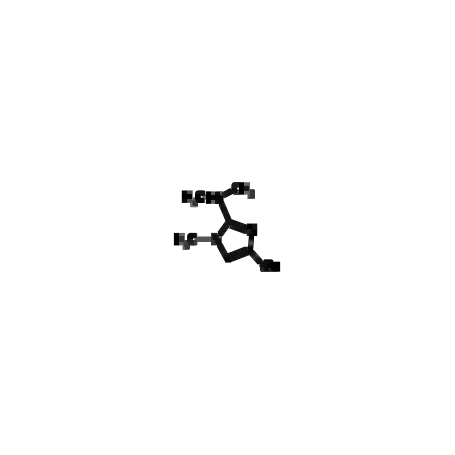 Cn1cc(C(C)(C)C)nc1[SH](C)C